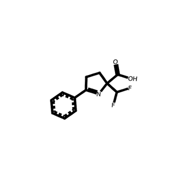 O=C(O)C1(C(F)F)CCC(c2ccccc2)=N1